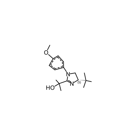 COc1ccc(N2C[C@H](C(C)(C)C)N=C2C(C)(C)O)cc1